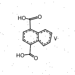 O=C(O)c1ccc(C(=O)O)c2ccccc12.[V]